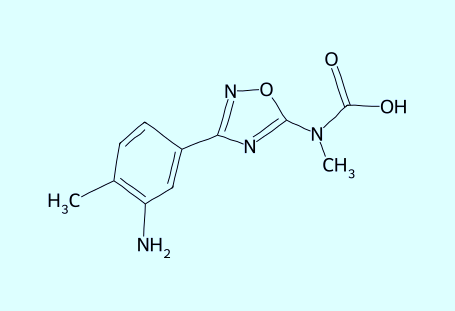 Cc1ccc(-c2noc(N(C)C(=O)O)n2)cc1N